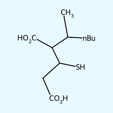 CCCCC(C)C(C(=O)O)C(S)CC(=O)O